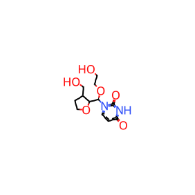 O=c1ccn([C@H](OCCO)C2OCCC2CO)c(=O)[nH]1